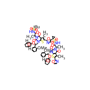 COc1ccccc1[C@H](Cn1c(=O)n([C@@H](C)C(=O)NS(=O)(=O)C2(c3cnc(-c4sc5c(c4C)c(=O)n([C@@H](C)C(=O)NS(=O)(=O)C(C)(C)C)c(=O)n5C[C@H](O[C@@H]4C[C@H]5CC[C@@H](C4)O5)c4ccccc4OC)o3)CC2)c(=O)c2c(C)c(-c3ncco3)sc21)O[C@@H]1CC2CC[C@@H](C1)O2